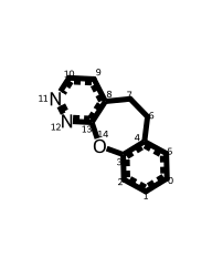 c1ccc2c(c1)CCc1ccnnc1O2